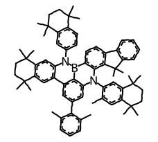 Cc1cc2c(cc1N1c3cc(-c4c(C)cccc4C)cc4c3B(c3ccc5c(c31)C(C)(C)c1ccccc1-5)N(c1ccc3c(c1)C(C)(C)CCC3(C)C)c1cc3c(cc1-4)C(C)(C)CCC3(C)C)C(C)(C)CCC2(C)C